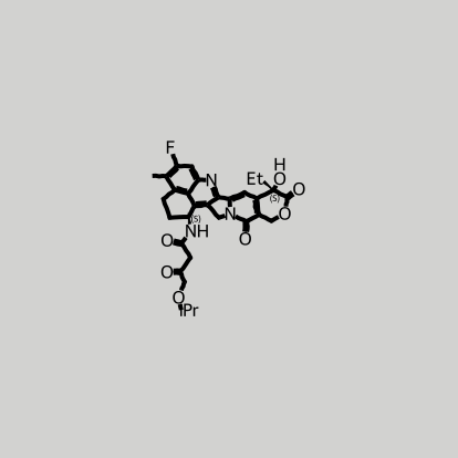 CC[C@@]1(O)C(=O)OCc2c1cc1n(c2=O)Cc2c-1nc1cc(F)c(C)c3c1c2[C@@H](NC(=O)CC(=O)COC(C)C)CC3